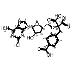 Nc1nc(Cl)nc2c1ncn2[C@@H]1O[C@H](COC(Cc2ccc(C(=O)O)cc2)(C(=O)O)C(=O)O)C[C@H]1O